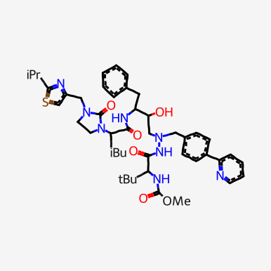 CCC(C)C(C(=O)NC(Cc1ccccc1)C(O)CN(Cc1ccc(-c2ccccn2)cc1)NC(=O)C(NC(=O)OC)C(C)(C)C)N1CCN(Cc2csc(C(C)C)n2)C1=O